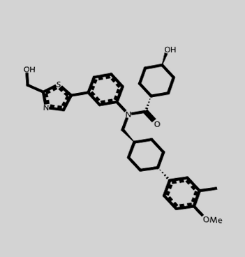 COc1ccc([C@H]2CC[C@H](CN(c3cccc(-c4cnc(CO)s4)c3)C(=O)[C@H]3CC[C@H](O)CC3)CC2)cc1C